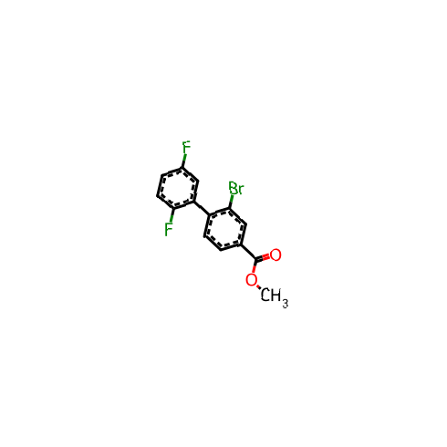 COC(=O)c1ccc(-c2cc(F)ccc2F)c(Br)c1